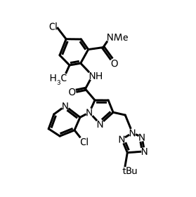 CNC(=O)c1cc(Cl)cc(C)c1NC(=O)c1cc(Cn2nnc(C(C)(C)C)n2)nn1-c1ncccc1Cl